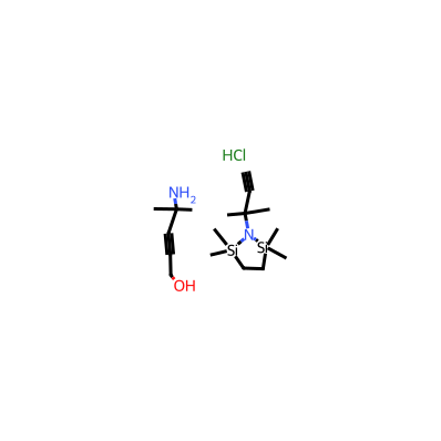 C#CC(C)(C)N1[Si](C)(C)CC[Si]1(C)C.CC(C)(N)C#CCO.Cl